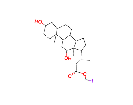 CC(CC(=O)OCI)C1CCC2C3CCC4CC(O)CCC4(C)C3CC(O)C12C